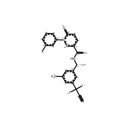 C#CC(F)(F)c1cc(N)cc([C@@H](C)NC(=O)c2ccc(=O)n(-c3cccc(C)c3)n2)c1